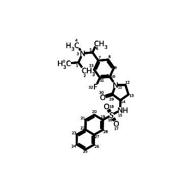 CC(C)N(C)C(C)c1ccc(N2CCC(NS(=O)(=O)c3ccc4ccccc4c3)C2=O)c(F)c1